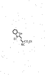 [C-]#[N+]C(=CC=C1[Se]c2ccccc2N1CC)C(=O)OCC